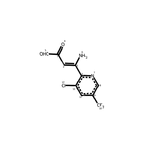 N/C(=C\C(=O)C=O)c1ncc(C(F)(F)F)cc1Cl